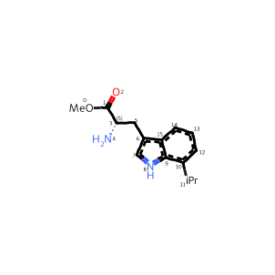 COC(=O)[C@@H](N)Cc1c[nH]c2c(C(C)C)cccc12